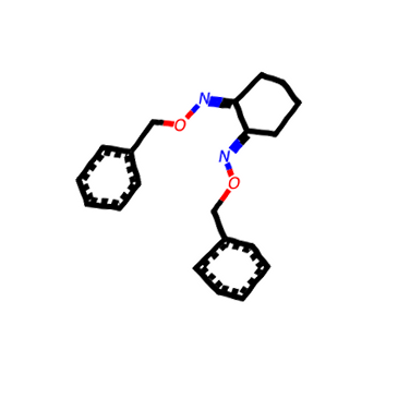 c1ccc(CO/N=C2/CCCC/C2=N\OCc2ccccc2)cc1